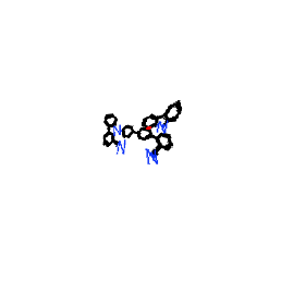 N#Cc1cccc(-n2c3ccccc3c3ccccc32)c1-c1ccc(-c2ccc(-n3c4ccccc4c4cccc(C#N)c43)cc2)cc1